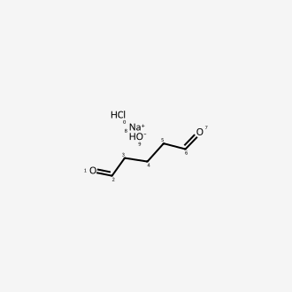 Cl.O=CCCCC=O.[Na+].[OH-]